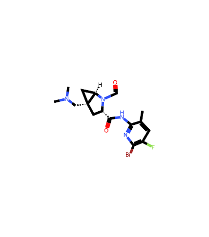 Cc1cc(F)c(Br)nc1NC(=O)[C@@H]1C[C@@]2(CN(C)C)C[C@H]2N1C=O